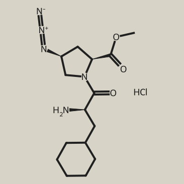 COC(=O)[C@@H]1C[C@H](N=[N+]=[N-])CN1C(=O)[C@H](N)CC1CCCCC1.Cl